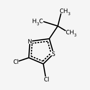 CC(C)(C)c1nc(Cl)c(Cl)s1